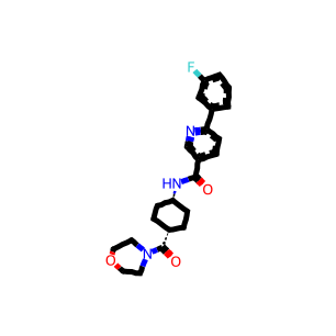 O=C(N[C@H]1CC[C@@H](C(=O)N2CCOCC2)CC1)c1ccc(-c2cccc(F)c2)nc1